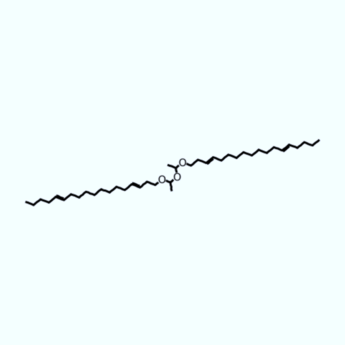 CCCCC=CCCCCCCCCC=CCCOC(C)OC(C)OCCC=CCCCCCCCCC=CCCCC